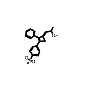 CC(O)C=C1CC(c2ccc(S(C)(=O)=O)cc2)=C1c1ccccc1